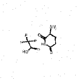 NC1CCC(=O)NC1=O.O=C(O)C(F)(F)F